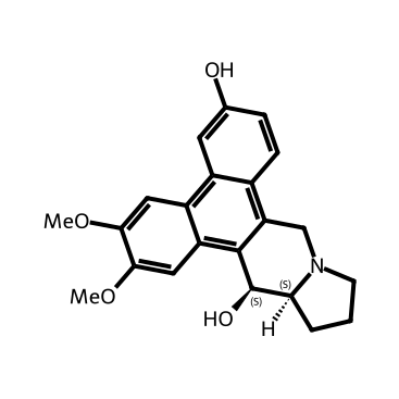 COc1cc2c3c(c4ccc(O)cc4c2cc1OC)CN1CCC[C@H]1[C@H]3O